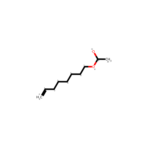 C=CCCCCCCOC(C)[O]